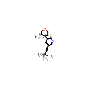 C[C@H]1COCC[C@@]1(F)c1cc(C#C[Si](C)(C)C)cnc1F